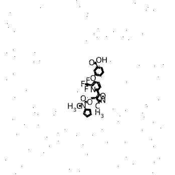 Cc1noc(-c2ccc(O[C@H]3CCC[C@H](C(=O)O)C3)c(C(F)(F)F)n2)c1COC(=O)N(C)C1CCCC1